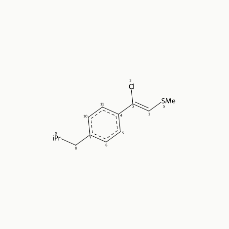 CSC=C(Cl)c1ccc(CC(C)C)cc1